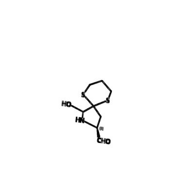 O=C[C@@H]1CC2(SCCCS2)C(O)N1